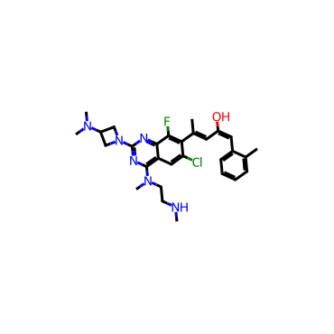 CNCCN(C)c1nc(N2CC(N(C)C)C2)nc2c(F)c(/C(C)=C/C(O)=C\c3ccccc3C)c(Cl)cc12